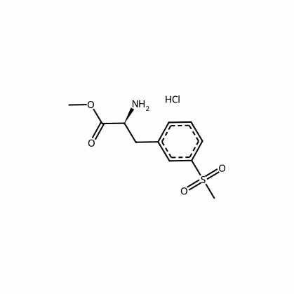 COC(=O)[C@@H](N)Cc1cccc(S(C)(=O)=O)c1.Cl